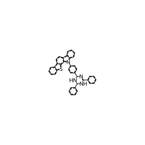 c1ccc(C2=NC(c3ccc(-n4c5ccccc5c5ccc6c7ccccc7sc6c54)cc3)NC(c3ccccc3)N2)cc1